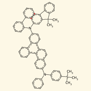 CC1(C)c2ccccc2-c2ccc(N(c3ccc4c(c3)c3ccccc3c3c5ccc(N(c6ccccc6)c6ccc(S(C)(C)C)cc6)cc5ccc43)c3ccccc3-c3ccccc3)cc21